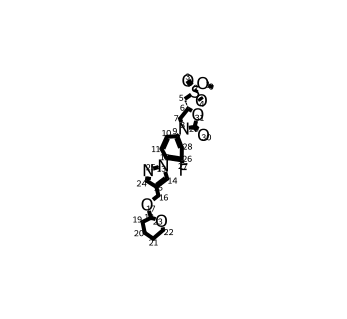 COS(=O)(=O)C[C@H]1CN(c2ccc(-n3cc(COC4CCCCO4)cn3)c(F)c2)C(=O)O1